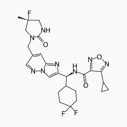 C[C@@]1(F)CNC(=O)N(Cc2cnn3cc([C@@H](NC(=O)c4nonc4C4CC4)C4CCC(F)(F)CC4)nc3c2)C1